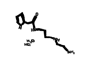 Cl.NCCNCCNC(=O)c1ccc[nH]1.O